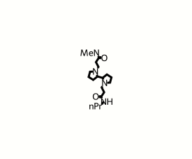 CCCNC(=O)CCN1CCCC1C1CCCN1CCC(=O)NC